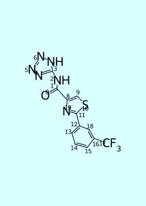 O=C(Nc1nnn[nH]1)c1csc(-c2cccc(C(F)(F)F)c2)n1